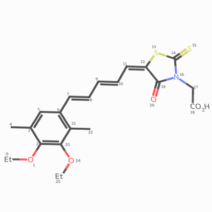 CCOc1c(C)cc(C=CC=CC=C2SC(=S)N(CC(=O)O)C2=O)c(C)c1OCC